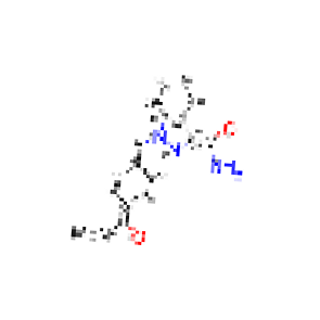 CNC(=O)c1ccc(Cn2nc(C(N)=O)c3ccccc32)cc1